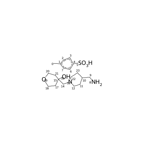 Cc1ccc(S(=O)(=O)O)cc1.NCC1CCN(CC2(O)CCOCC2)CC1